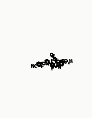 COC1(Cn2c(Cc3cc(F)c(-c4cccc(OCc5ccc(C#N)cc5F)n4)cc3F)nc3ccc(C(=O)O)cc32)CN(C2COC2)C1